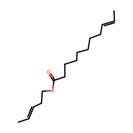 CC=CCCOC(=O)CCCCCCC/C=C/C